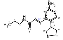 CCCNC(=O)/C=C/c1cc(N)ccc1N1CCCC1